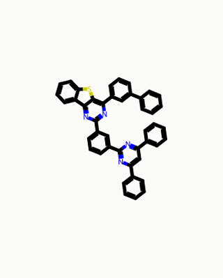 c1ccc(-c2cccc(-c3nc(-c4cccc(-c5nc(-c6ccccc6)cc(-c6ccccc6)n5)c4)nc4c3sc3ccccc34)c2)cc1